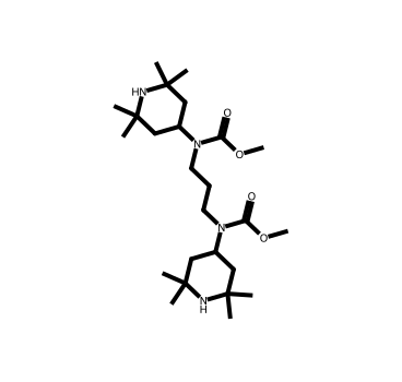 COC(=O)N(CCCN(C(=O)OC)C1CC(C)(C)NC(C)(C)C1)C1CC(C)(C)NC(C)(C)C1